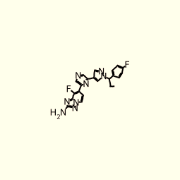 CCC(c1ccc(F)cc1)n1cc(-c2cncc(-c3ccn4nc(N)nc4c3F)n2)cn1